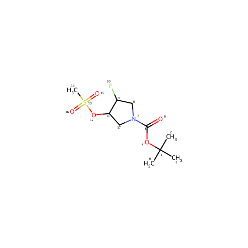 CC(C)(C)OC(=O)N1CC(F)C(OS(C)(=O)=O)C1